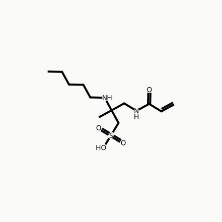 C=CC(=O)NCC(C)(CS(=O)(=O)O)NCCCCC